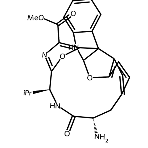 COC(=O)c1nc2oc1C13c4ccccc4NC1Oc1ccc(cc13)C[C@H](N)C(=O)N[C@H]2C(C)C